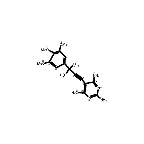 COc1cc(C(C)(C)C#Cc2c(C)nc(N)nc2N)cc(OC)c1OC